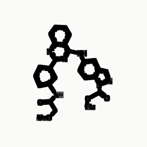 COCC(=O)Nc1cccc(-c2nc(Nc3ccc4c(cnn4C(=O)OC(C)(C)C)c3)c3ccccc3n2)c1